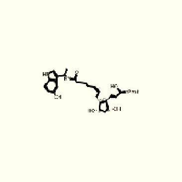 CCCCCC(O)/C=C/[C@@H]1[C@@H](C/C=C\CCCC(=O)NC(C)c2c[nH]c3ccc(O)cc23)[C@@H](O)C[C@H]1O